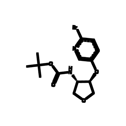 CC(C)(C)OC(=O)N[C@H]1COC[C@@H]1Oc1ccc(Br)nc1